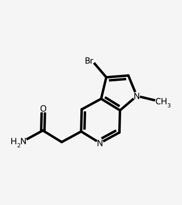 Cn1cc(Br)c2cc(CC(N)=O)ncc21